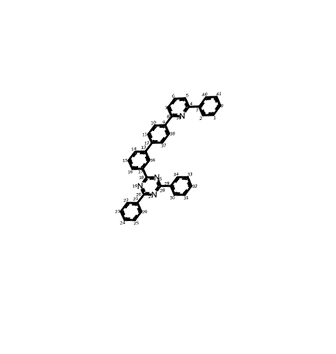 c1ccc(-c2cccc(-c3ccc(-c4cccc(-c5nc(-c6ccccc6)nc(-c6ccccc6)n5)c4)cc3)n2)cc1